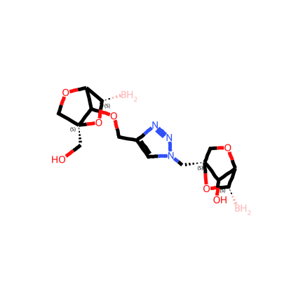 B[C@@H]1O[C@@]2(Cn3cc(COC4C5OC[C@]4(CO)O[C@H]5B)nn3)COC1C2O